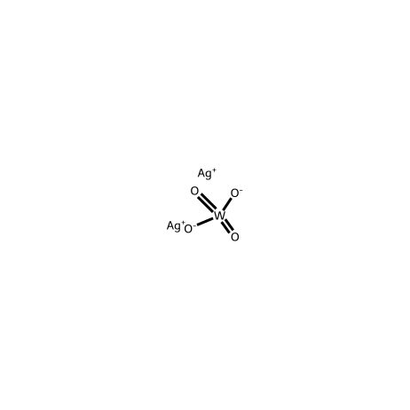 [Ag+].[Ag+].[O]=[W](=[O])([O-])[O-]